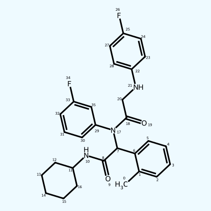 Cc1ccccc1C(C(=O)NC1CCCCC1)N(C(=O)CNc1ccc(F)cc1)c1cccc(F)c1